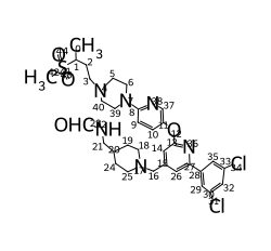 CC(CCN1CCN(c2ccc(Oc3cc(CN4CCC(CNC=O)CC4)cc(-c4cc(Cl)cc(Cl)c4)n3)cn2)CC1)S(C)(=O)=O